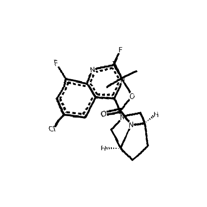 CC(C)(C)OC(=O)N1[C@@H]2CC[C@H]1CN(c1nc(F)nc3c(F)cc(Cl)cc13)C2